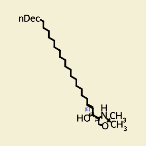 CCCCCCCCCCCCCCCCCCCCCCCCCCC/C=C/[C@@H](O)[C@@H]1COC(C)(C)N1